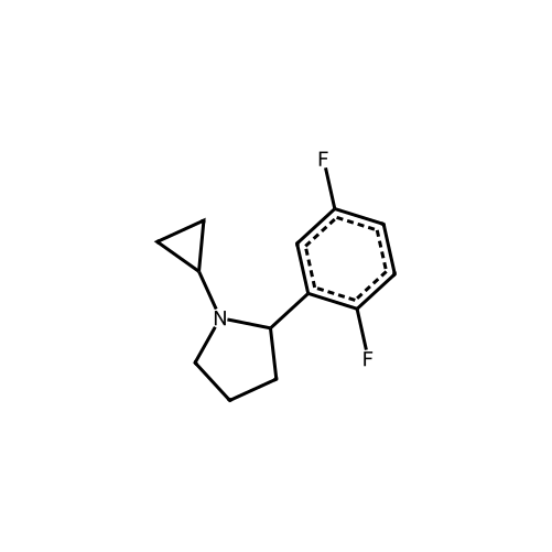 Fc1ccc(F)c(C2CCCN2C2CC2)c1